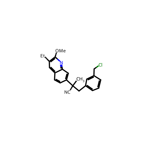 CCc1cc2ccc(C(C)(C#N)Cc3cccc(CCl)c3)cc2nc1OC